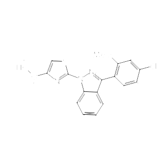 COc1cc(Cl)ccc1-c1nn(-c2nc(OC=O)cs2)c2ccccc12